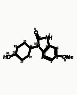 COc1ccc2c(c1)[nH]c(=O)n2C1CCC(O)CC1